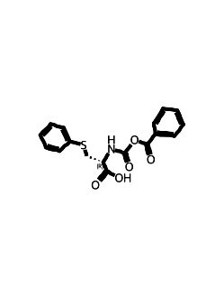 O=C(N[C@@H](CSc1ccccc1)C(=O)O)OC(=O)c1ccccc1